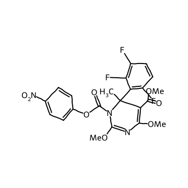 COC(=O)C1=C(OC)N=C(OC)N(C(=O)Oc2ccc([N+](=O)[O-])cc2)C1(C)c1c(F)ccc(F)c1F